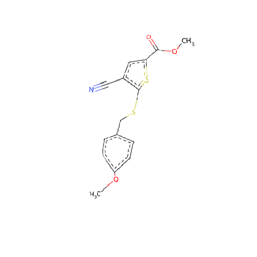 COC(=O)c1cc(C#N)c(SCc2ccc(OC)cc2)s1